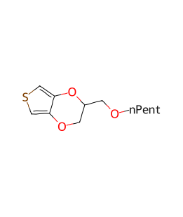 CCCCCOCC1COc2cscc2O1